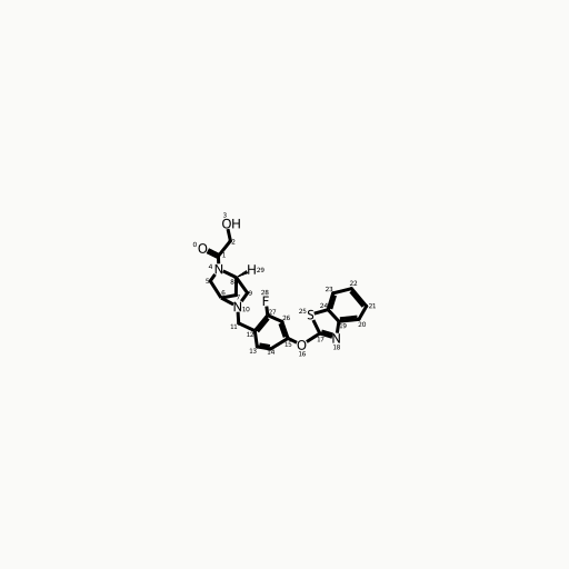 O=C(CO)N1CC2C[C@H]1CN2Cc1ccc(Oc2nc3ccccc3s2)cc1F